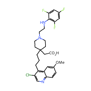 COc1ccc2ncc(Cl)c(CCCC3(CC(=O)O)CCN(CCNc4c(F)cc(F)cc4F)CC3)c2c1